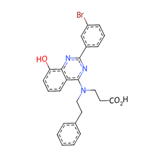 O=C(O)CCN(CCc1ccccc1)c1nc(-c2cccc(Br)c2)nc2c(O)cccc12